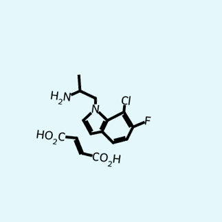 CC(N)Cn1ccc2ccc(F)c(Cl)c21.O=C(O)C=CC(=O)O